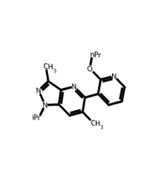 CCCOc1ncccc1-c1nc2c(C)nn(C(C)C)c2cc1C